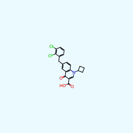 O=C(O)c1cn(C2CCC2)c2ccc(Cc3cccc(Cl)c3Cl)cc2c1=O